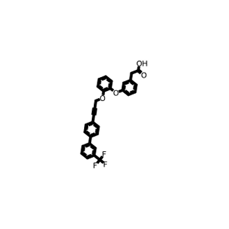 O=C(O)Cc1cccc(Oc2ccccc2OCC#Cc2ccc(-c3cccc(C(F)(F)F)c3)cc2)c1